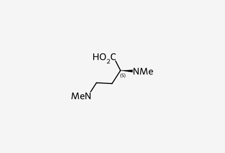 CNCC[C@H](NC)C(=O)O